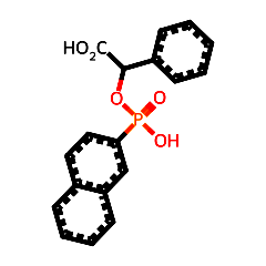 O=C(O)C(OP(=O)(O)c1ccc2ccccc2c1)c1ccccc1